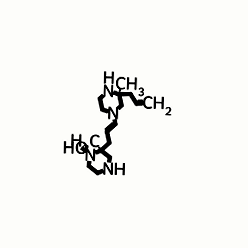 C=CC[C@@]1(C)CN(/C=C/C[C@@]2(C)CNCCN2O)CCN1